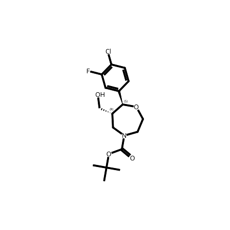 CC(C)(C)OC(=O)N1CCO[C@H](c2ccc(Cl)c(F)c2)[C@@H](CO)C1